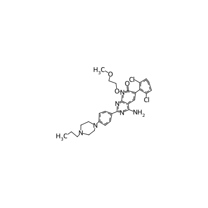 CCCN1CCN(c2ccc(-c3nc(N)c4cc(-c5c(Cl)cccc5Cl)c(=O)n(OCCOC)c4n3)cc2)CC1